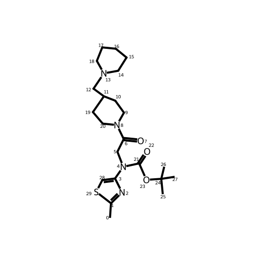 Cc1nc(N(CC(=O)N2CCC(CN3CCCCC3)CC2)C(=O)OC(C)(C)C)cs1